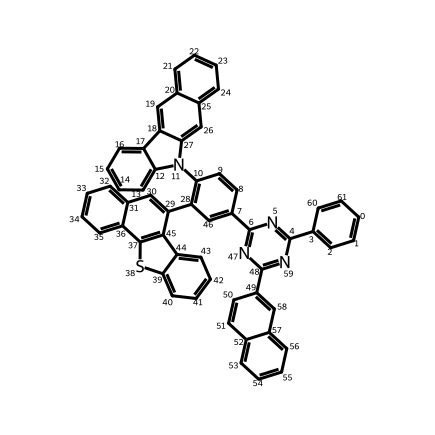 c1ccc(-c2nc(-c3ccc(-n4c5ccccc5c5cc6ccccc6cc54)c(-c4cc5ccccc5c5sc6ccccc6c45)c3)nc(-c3ccc4ccccc4c3)n2)cc1